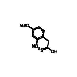 COc1ccc(CC(O)=S)c([N+](=O)[O-])c1